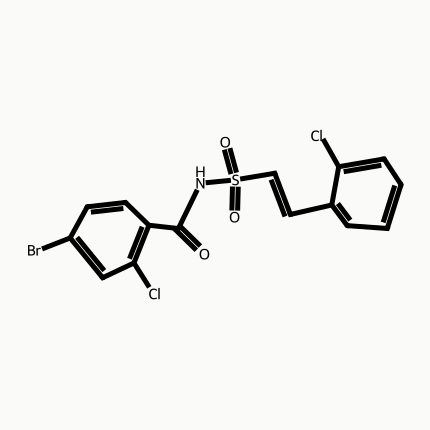 O=C(NS(=O)(=O)/C=C/c1ccccc1Cl)c1ccc(Br)cc1Cl